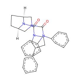 O=C(N1C[C@H]2CC[C@@H](C1)N2C(=O)N1CCC(c2ccccc2)C1)N(c1ccccc1)c1ccccc1